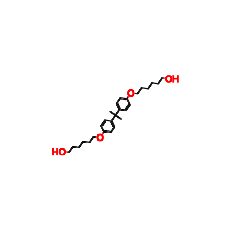 CC(C)(c1ccc(OCCCCCCO)cc1)c1ccc(OCCCCCCO)cc1